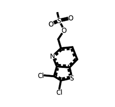 CS(=O)(=O)OCc1ccc2sc(Cl)c(Cl)c2n1